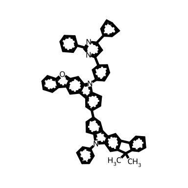 CC1(C)c2ccccc2-c2cc3c4cc(-c5ccc6c(c5)c5cc7c(cc5n6-c5cccc(-c6cc(-c8ccccc8)nc(-c8ccccc8)n6)c5)oc5ccccc57)ccc4n(-c4ccccc4)c3cc21